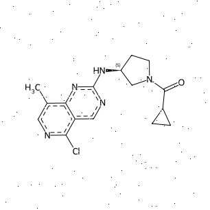 Cc1cnc(Cl)c2cnc(N[C@H]3CCN(C(=O)C4CC4)C3)nc12